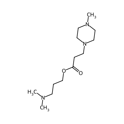 CN(C)CCCOC(=O)CCN1CCN(C)CC1